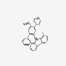 Cc1cccc2c3ccccc3n(-c3cc(-c4ccncc4)c(C#N)cc3-c3ccccc3)c12